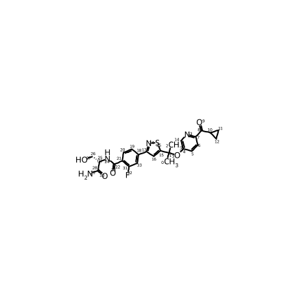 CC(C)(Oc1ccc(C(=O)C2CC2)nc1)c1cc(-c2ccc(C(=O)N[C@@H](CO)C(N)=O)c(F)c2)ns1